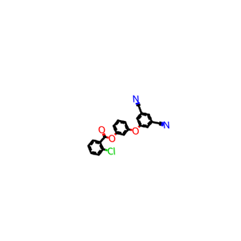 N#Cc1cc(C#N)cc(Oc2cccc(OC(=O)c3ccccc3Cl)c2)c1